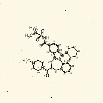 CN1CCN(C(=O)C2Cc3ccccc3-c3c(C4CCCCC4)c4ccc(C(=O)NS(=O)(=O)N(C)C)cc4n3C2)CC1